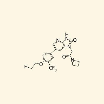 O=C(Cn1c(=O)[nH]c2ncc(-c3ccc(OCCF)c(C(F)(F)F)c3)cc21)N1CCC1